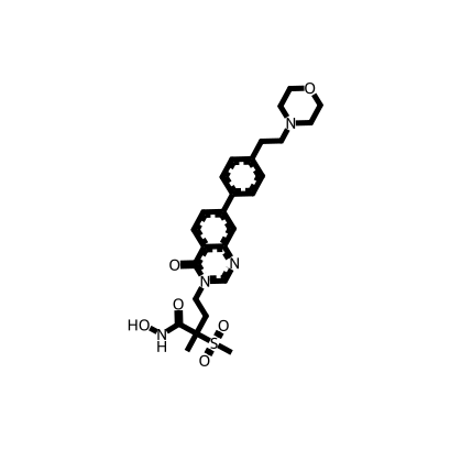 CC(CCn1cnc2cc(-c3ccc(CCN4CCOCC4)cc3)ccc2c1=O)(C(=O)NO)S(C)(=O)=O